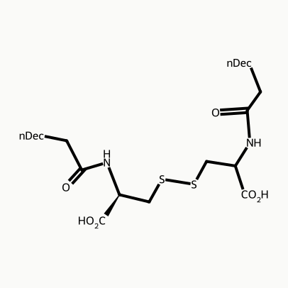 CCCCCCCCCCCC(=O)NC(CSSC[C@H](NC(=O)CCCCCCCCCCC)C(=O)O)C(=O)O